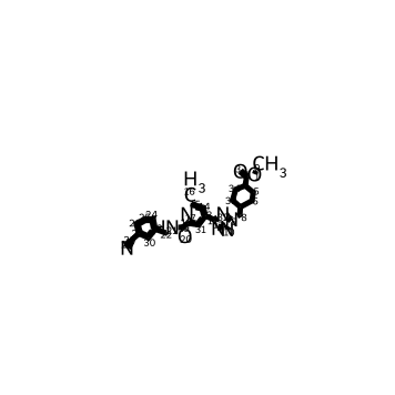 COC(=O)C1CCC(Cn2nnc(-c3cc(C)nc(C(=O)NCc4cccc(C#N)c4)c3)n2)CC1